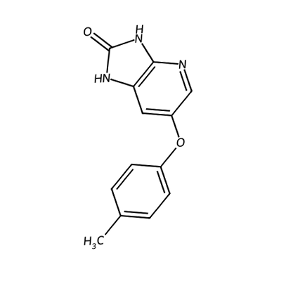 Cc1ccc(Oc2cnc3[nH]c(=O)[nH]c3c2)cc1